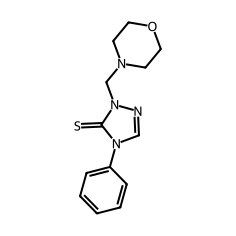 S=c1n(-c2ccccc2)cnn1CN1CCOCC1